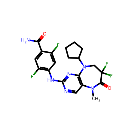 CN1C(=O)C(F)(F)CN(C2CCCC2)c2nc(Nc3cc(F)c(C(N)=O)cc3F)ncc21